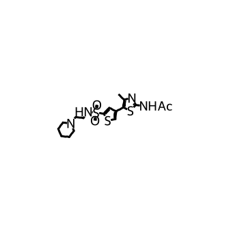 CC(=O)Nc1nc(C)c(-c2csc(S(=O)(=O)NCCN3CCCCC3)c2)s1